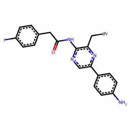 CC(C)Cc1nc(-c2ccc(N)cc2)cnc1NC(=O)Cc1ccc(I)cc1